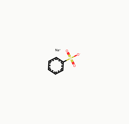 O=S(=O)([O-])c1c[c]ccc1.[Na+]